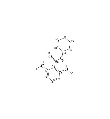 COc1cccc(OC)c1C(=O)OC1CCCCC1